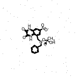 CP(=O)(O)ON(Cc1ccccc1)Cc1cc([N+](=O)[O-])cc2[nH]c(=O)c(=O)[nH]c12